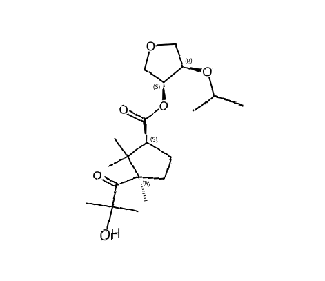 CC(C)O[C@@H]1COC[C@@H]1OC(=O)[C@H]1CC[C@@](C)(C(=O)C(C)(C)O)C1(C)C